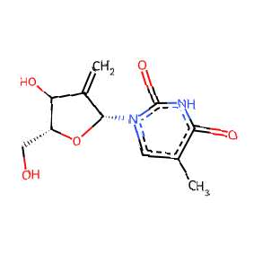 C=C1C(O)[C@@H](CO)O[C@H]1n1cc(C)c(=O)[nH]c1=O